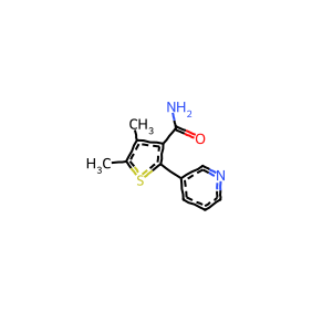 Cc1sc(-c2cccnc2)c(C(N)=O)c1C